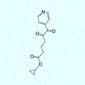 O=C(CCCC(=O)C(=O)c1ccncc1)OC1CC1